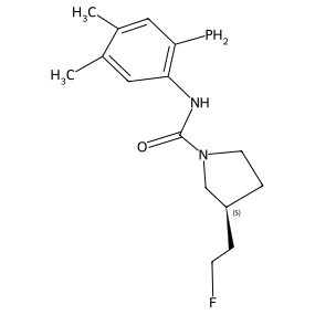 Cc1cc(P)c(NC(=O)N2CC[C@@H](CCF)C2)cc1C